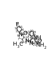 CCCN(C[C@H]1CCCN(c2ccc(F)cc2)C1=O)c1ncc(C(N)=O)c2[nH]c3ccccc3c12